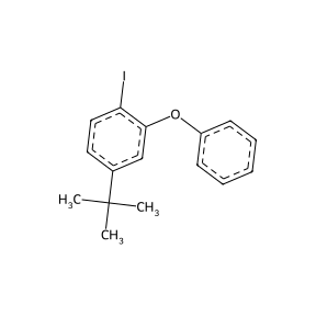 CC(C)(C)c1ccc(I)c(Oc2ccccc2)c1